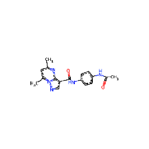 CC(=O)Nc1ccc(NC(=O)c2cnn3c(C)cc(C)nc23)cc1